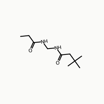 CCC(=O)NCNC(=O)CC(C)(C)C